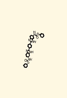 O=C(Nc1ccc2nc(-c3ccc(-c4nc5ccc(NC(=O)Oc6ccccc6)cc5[nH]4)cc3)[nH]c2c1)Oc1ccccc1